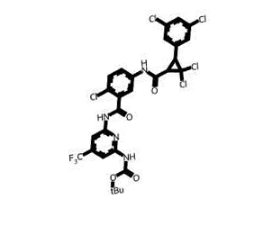 CC(C)(C)OC(=O)Nc1cc(C(F)(F)F)cc(NC(=O)c2cc(NC(=O)C3C(c4cc(Cl)cc(Cl)c4)C3(Cl)Cl)ccc2Cl)n1